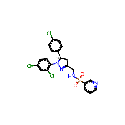 O=S(=O)(NCC1=NN(c2ccc(Cl)cc2Cl)[C@@H](c2ccc(Cl)cc2)C1)c1cccnc1